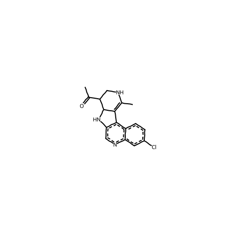 CC(=O)C1CNC(C)=C2c3c(cnc4cc(Cl)ccc34)NC21